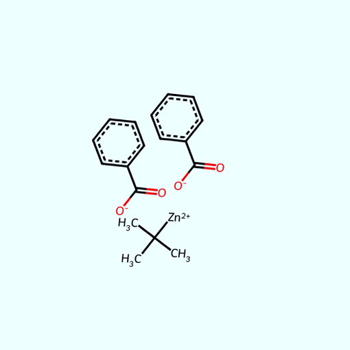 C[C](C)(C)[Zn+2].O=C([O-])c1ccccc1.O=C([O-])c1ccccc1